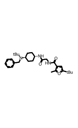 Cc1oc(C(C)(C)C)cc1C(=O)NCC(=O)N[C@H]1CC[C@H](N(Cc2ccccc2)C(C)(C)C)CC1